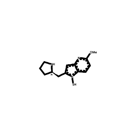 COc1ccc2c(cc(C[C@H]3CCCN3)n2S)n1